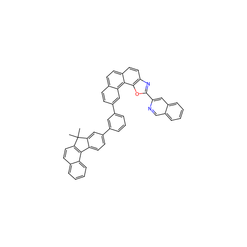 CC1(C)c2cc(-c3cccc(-c4ccc5ccc6ccc7nc(-c8cc9ccccc9cn8)oc7c6c5c4)c3)ccc2-c2c1ccc1ccccc21